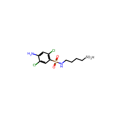 Nc1cc(Cl)c(S(=O)(=O)NCCCCS(=O)(=O)O)cc1Cl